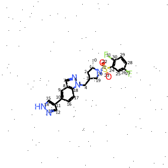 C[C@H]1CC(Cn2ncc3cc(-c4cn[nH]c4)ccc32)CN1S(=O)(=O)c1cc(F)ccc1F